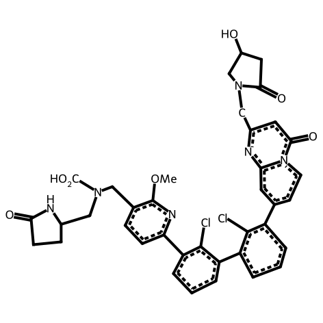 COc1nc(-c2cccc(-c3cccc(-c4ccn5c(=O)cc(CN6CC(O)CC6=O)nc5c4)c3Cl)c2Cl)ccc1CN(CC1CCC(=O)N1)C(=O)O